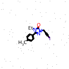 CCn1c(-c2ccc(C)cc2)nn(CC#CI)c1=O